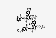 CCOC(=O)c1cnc(NCCNc2ccc([N+](=O)[O-])cn2)nc1-c1ccc(Cl)cc1Cl.CCc1nc(NCCNc2ncccn2)nc(-c2ccc(C#N)cc2)c1C(=O)O